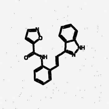 O=C(Nc1ccccc1C=Cc1n[nH]c2ccccc12)c1ccno1